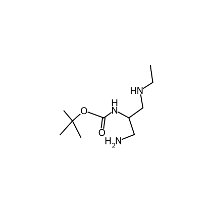 CCNCC(CN)NC(=O)OC(C)(C)C